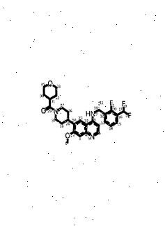 COc1cc2nccc(N[C@H](C)c3cccc(C(F)F)c3F)c2cc1C1CCN(C(=O)C2CCOCC2)CC1